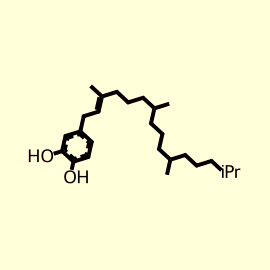 C/C(=C\Cc1ccc(O)c(O)c1)CCCC(C)CCCC(C)CCCC(C)C